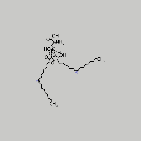 CCCCCCCC/C=C\CCCCCCCC(=O)C(OP(=O)(O)OC[C@H](N)C(=O)O)(C(=O)CCCCCCC/C=C\CCCCCCCC)[C@@H](O)CO